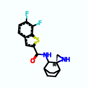 O=C(NC1C2CCC(CC2)[C@@]12CN2)c1cc2ccc(F)c(F)c2s1